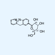 Nc1ccc([C@@H]2O[C@H](CO)[C@@H](O)C(O)[C@H]2O)cc1Cc1ccccc1